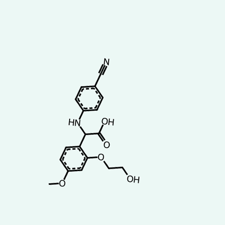 COc1ccc(C(Nc2ccc(C#N)cc2)C(=O)O)c(OCCO)c1